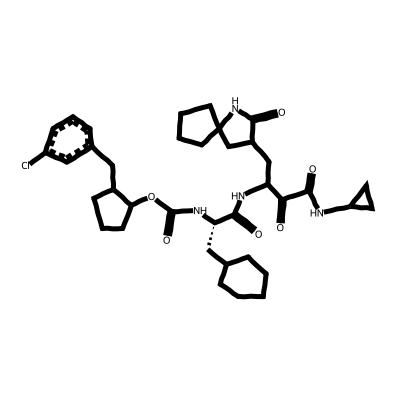 O=C(N[C@@H](CC1CCCCC1)C(=O)NC(CC1CC2(CCCC2)NC1=O)C(=O)C(=O)NC1CC1)OC1CCCC1Cc1cccc(Cl)c1